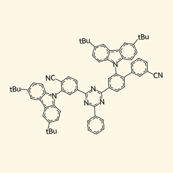 CC(C)(C)c1ccc2c(c1)c1cc(C(C)(C)C)ccc1n2-c1cc(-c2nc(-c3ccccc3)nc(-c3ccc(-c4cccc(C#N)c4)c(-n4c5ccc(C(C)(C)C)cc5c5cc(C(C)(C)C)ccc54)c3)n2)ccc1C#N